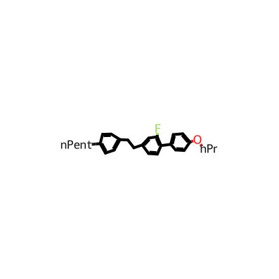 CCCCCc1ccc(CCc2ccc(-c3ccc(OCCC)cc3)c(F)c2)cc1